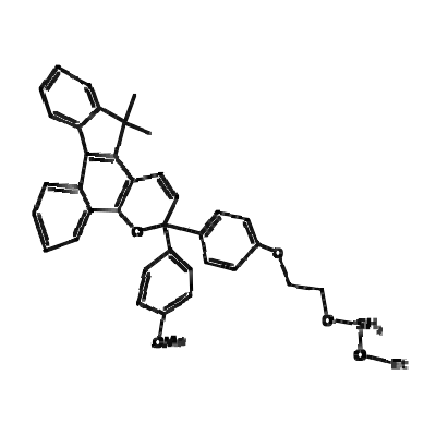 CCO[SiH2]OCCOc1ccc(C2(c3ccc(OC)cc3)C=Cc3c4c(c5ccccc5c3O2)-c2ccccc2C4(C)C)cc1